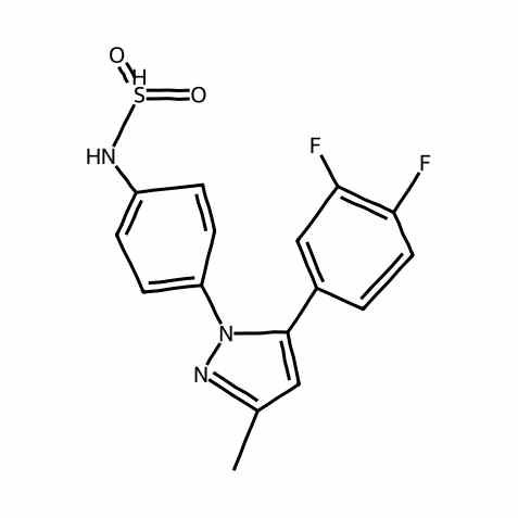 Cc1cc(-c2ccc(F)c(F)c2)n(-c2ccc(N[SH](=O)=O)cc2)n1